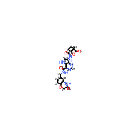 CC12CC[C@]1(C(=O)Nc1c[nH]c3c(C(=O)NCc4ccc5c(c4)NC(=O)CO5)ncnc13)OC2=O